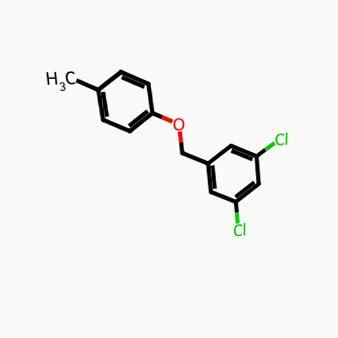 Cc1ccc(OCc2cc(Cl)cc(Cl)c2)cc1